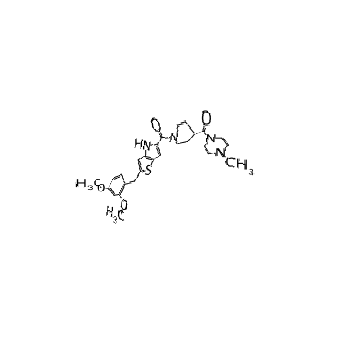 COc1ccc(Cc2cc3[nH]c(C(=O)N4CCC(C(=O)N5CCN(C)CC5)CC4)cc3s2)c(OC)c1